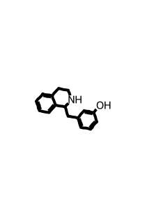 Oc1cccc(CC2NCCc3ccccc32)c1